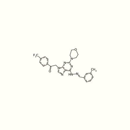 Cc1cccc(/C=N/Nc2nc(N3CCOCC3)nc3c2ncn3CC(=O)c2ccc(C(F)(F)F)cc2)c1